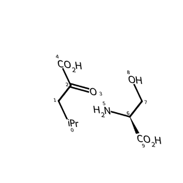 CC(C)CC(=O)C(=O)O.N[C@@H](CO)C(=O)O